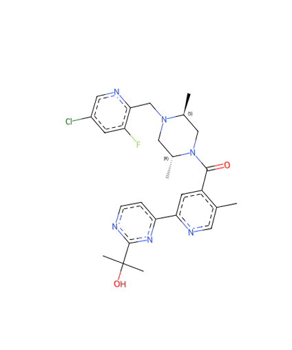 Cc1cnc(-c2ccnc(C(C)(C)O)n2)cc1C(=O)N1C[C@H](C)N(Cc2ncc(Cl)cc2F)C[C@H]1C